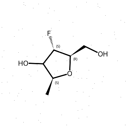 C[C@@H]1O[C@H](CO)[C@@H](F)C1O